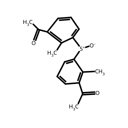 CC(=O)c1cccc([S+]([O-])c2cccc(C(C)=O)c2C)c1C